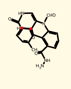 Cc1ccccc1-c1c(C(=O)NN)cccc1N(C=O)c1c[nH]c(=O)[nH]c1=O